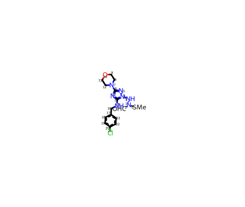 CSN(C=O)Nn1nc(N2CCOCC2)nc1NCc1ccc(Cl)cc1